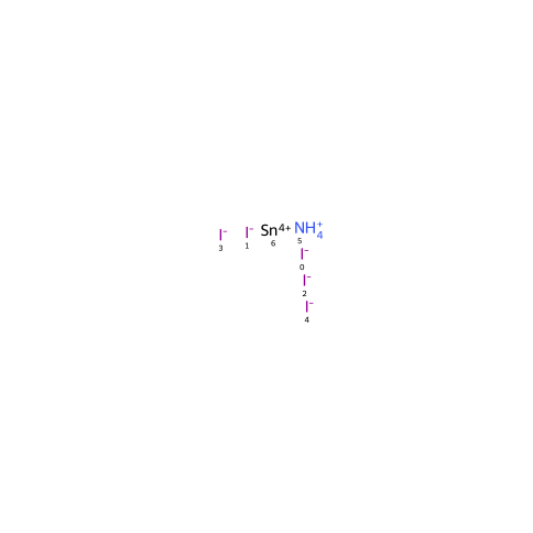 [I-].[I-].[I-].[I-].[I-].[NH4+].[Sn+4]